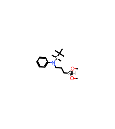 CO[SiH](CCCN(c1ccccc1)[Si](C)(C)C(C)(C)C)OC